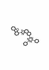 c1ccc(-c2nc(-c3ccccc3)nc(-c3ccc4ccc5sc(-c6cccc7c6oc6ccccc67)nc5c4c3)n2)cc1